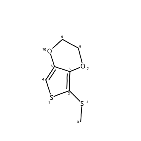 CSc1scc2c1OCCO2